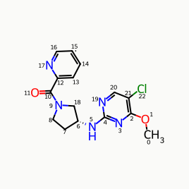 COc1nc(N[C@@H]2CCN(C(=O)c3cc[c]cn3)C2)ncc1Cl